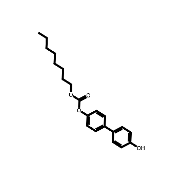 CCCCCCCCOC(=O)Oc1ccc(-c2ccc(O)cc2)cc1